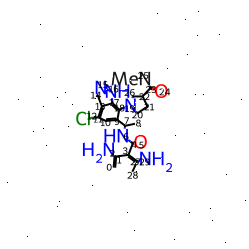 C=C(N)/C(C(=O)NC(C)c1cc(Cl)c2cn[nH]c2c1N1CCC(C(=O)NC)C1)=C(\C)N